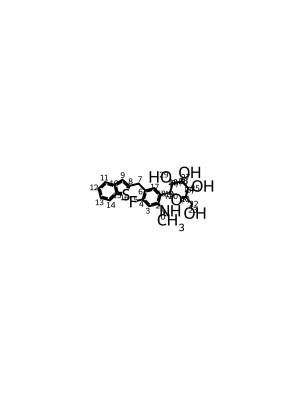 CNc1cc(F)c(Cc2cc3ccccc3s2)cc1[C@@H]1O[C@H](CO)[C@@H](O)[C@H](O)[C@H]1O